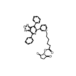 O=C(CCCCC[n+]1cccc(-c2nc(-c3ccccc3)c3nonc3c2-c2ccccc2)c1)ON1C(=O)CCC1=O